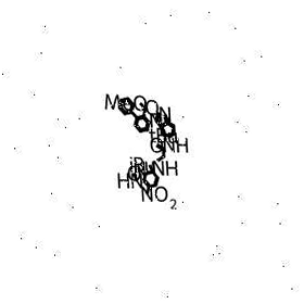 CCC(C)C1(NCCC(=O)Nc2ccc3ncn(-c4c(C(C)(C)C)ccc(-c5ccccc5)c4C(=O)OC)c3c2)C=CC([N+](=O)[O-])=C2NON=C21